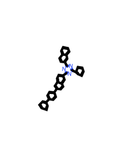 c1ccc(-c2ccc(-c3ccc4cc(-c5nc(-c6ccccc6)nc(-c6ccc7ccccc7c6)n5)ccc4c3)cc2)cc1